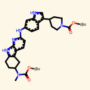 CN(C(=O)OC(C)(C)C)C1CCc2[nH]c3nc(Nc4ccc5c(C6CCN(C(=O)OC(C)(C)C)CC6)c[nH]c5c4)ccc3c2C1